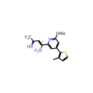 COc1cc(-c2sccc2C)cc(/C(N)=C/C(=N)C(F)(F)F)n1